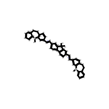 CN1c2ccccc2CCc2ccc(/C=C/c3ccc4c(c3)C(C)(C)c3cc(/C=C/c5ccc6c(c5)N(C)c5ccccc5CC6)ccc3-4)cc21